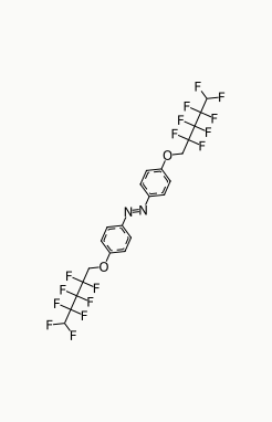 FC(F)C(F)(F)C(F)(F)C(F)(F)COc1ccc(/N=N/c2ccc(OCC(F)(F)C(F)(F)C(F)(F)C(F)F)cc2)cc1